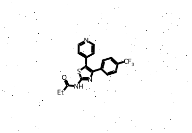 CCC(=O)Nc1nc(-c2ccc(C(F)(F)F)cc2)c(-c2ccncc2)s1